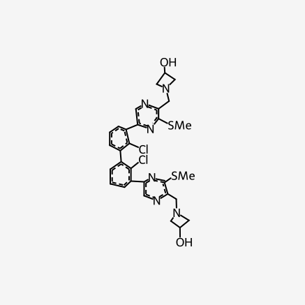 CSc1nc(-c2cccc(-c3cccc(-c4cnc(CN5CC(O)C5)c(SC)n4)c3Cl)c2Cl)cnc1CN1CC(O)C1